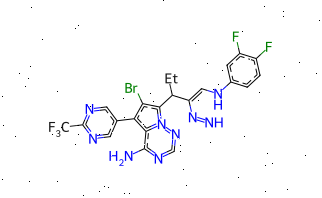 CCC(/C(=C/Nc1ccc(F)c(F)c1)N=N)c1c(Br)c(-c2cnc(C(F)(F)F)nc2)c2c(N)ncnn12